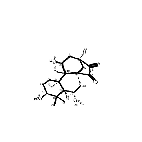 C=C1C(=O)[C@]23C[C@H]1C[C@H](O)[C@H]2[C@]1(C)CC[C@H](OC(C)=O)C(C)(C)[C@H]1[C@@H](OC(C)=O)C3